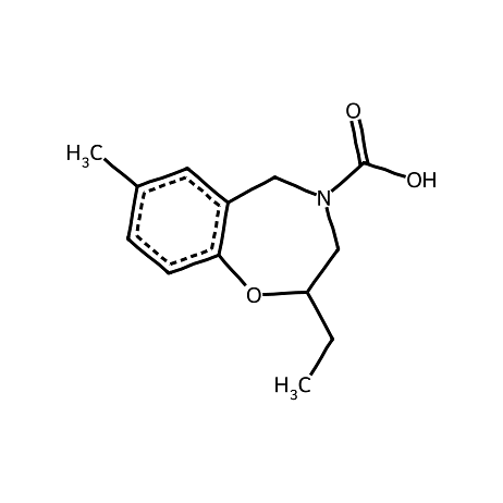 CCC1CN(C(=O)O)Cc2cc(C)ccc2O1